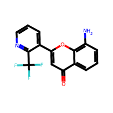 Nc1cccc2c(=O)cc(-c3cccnc3C(F)(F)F)oc12